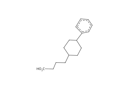 O=C(O)CCCC1CCC(c2ccccc2)CC1